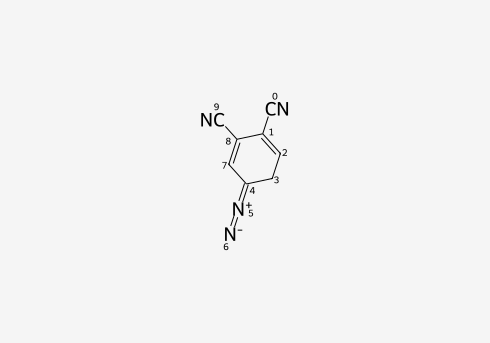 N#CC1=CCC(=[N+]=[N-])C=C1C#N